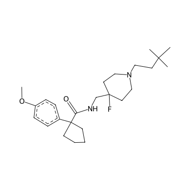 COc1ccc(C2(C(=O)NCC3(F)CCN(CCC(C)(C)C)CC3)CCCC2)cc1